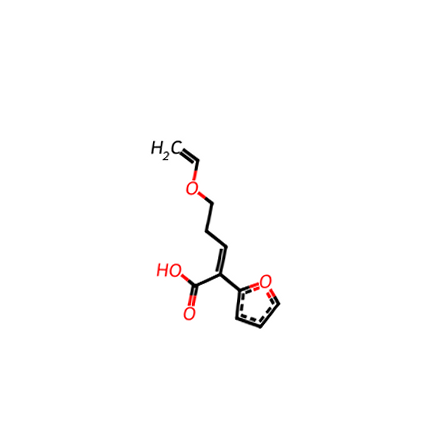 C=COCCC=C(C(=O)O)c1ccco1